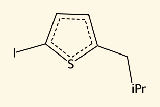 CC(C)Cc1ccc(I)s1